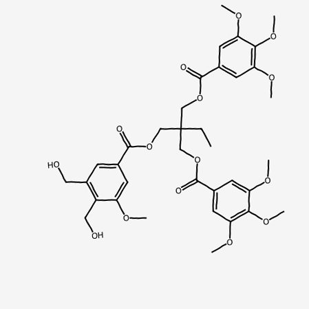 CCC(COC(=O)c1cc(CO)c(CO)c(OC)c1)(COC(=O)c1cc(OC)c(OC)c(OC)c1)COC(=O)c1cc(OC)c(OC)c(OC)c1